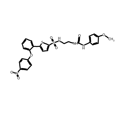 COc1ccc(NC(=O)NCCNS(=O)(=O)c2ccc(-c3ccccc3Oc3ccc([N+](=O)[O-])cc3)s2)cc1